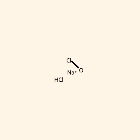 Cl.[Na+].[O-]Cl